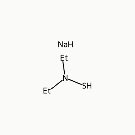 CCN(S)CC.[NaH]